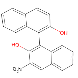 O=[N+]([O-])c1cc2ccccc2c(-c2c(O)ccc3ccccc23)c1O